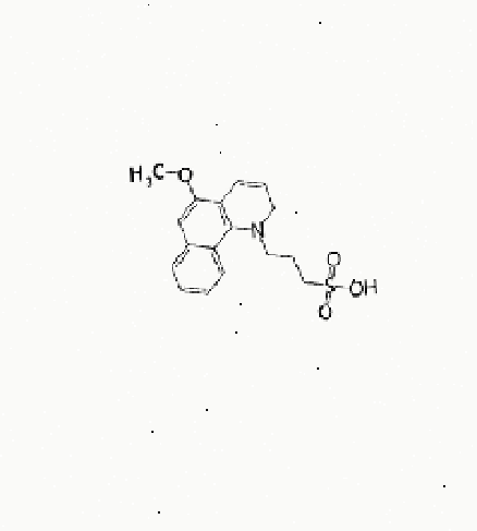 COc1cc2ccccc2c2c1C=CCN2CCCS(=O)(=O)O